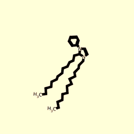 CCCCCCCCCCCCCCN1C=CN(c2ccccc2)C1CCCCCCCCCCCCC